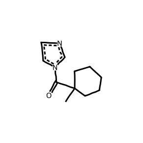 CC1(C(=O)n2ccnc2)CCCCC1